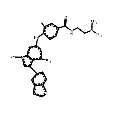 CC(C)n1cc(-c2ccc3occc3c2)c2c(N)nc(Nc3ccc(C(=O)NCCN(C)C)cc3F)nc21